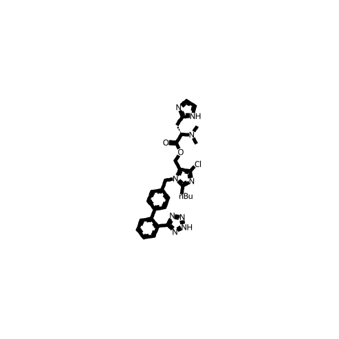 CCCCc1nc(Cl)c(COC(=O)[C@H](Cc2ncc[nH]2)N(C)C)n1Cc1ccc(-c2ccccc2-c2nn[nH]n2)cc1